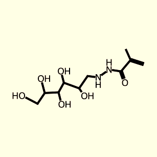 C=C(C)C(=O)NNCC(O)C(O)C(O)C(O)CO